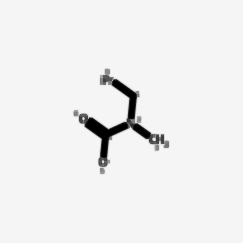 CC(C)CN(C)C([O])=O